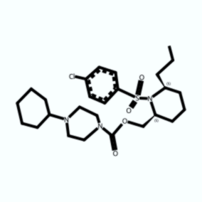 CCC[C@H]1CCC[C@@H](COC(=O)N2CCN(C3CCCCC3)CC2)N1S(=O)(=O)c1ccc(Cl)cc1